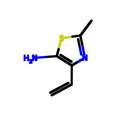 C=Cc1nc(C)sc1N